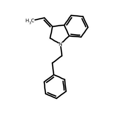 CC=C1CN(CCc2ccccc2)c2ccccc21